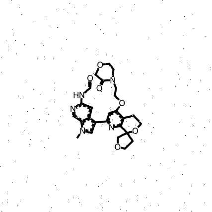 Cn1cc(-c2cc(OCCN3CCOCC3=O)c3c(n2)C2(CCOC2)OCC3)c2cc(NC=O)ncc21